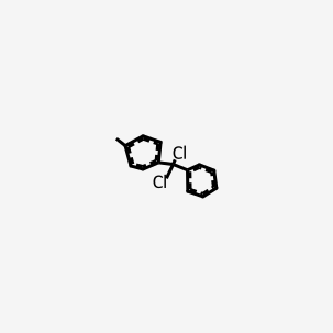 Cc1ccc(C(Cl)(Cl)c2ccccc2)cc1